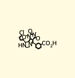 Cn1c(=O)c2c(-c3cccc(C(=O)O)c3)n3c(c2n(C)c1=O)C(c1ccc(Cl)o1)NCC3